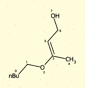 CCCCCOC(C)=CCO